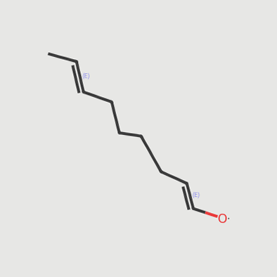 C/C=C/CCCC/C=C/[O]